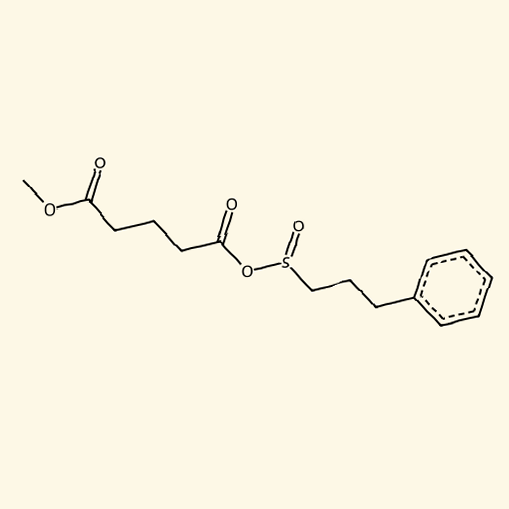 COC(=O)CCCC(=O)OS(=O)CCCc1ccccc1